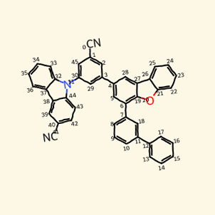 N#Cc1cc(-c2cc(-c3cccc(-c4ccccc4)c3)c3oc4ccccc4c3c2)cc(-n2c3ccccc3c3cc(C#N)ccc32)c1